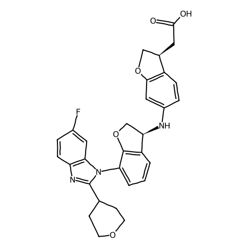 O=C(O)C[C@@H]1COc2cc(N[C@@H]3COc4c3cccc4-n3c(C4CCOCC4)nc4ccc(F)cc43)ccc21